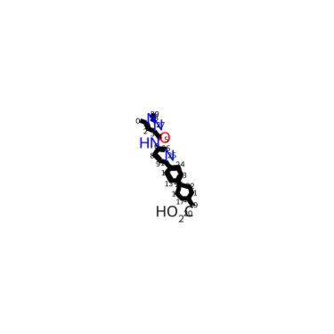 Cc1cc(C(=O)Nc2ccc(-c3ccc(C4CCC(CC(=O)O)CC4)cc3)nc2)nn1C